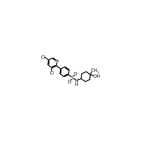 CC1(O)CCC(NS(=O)(=O)c2ccc(-c3ncc(Cl)cc3Cl)cc2)CC1